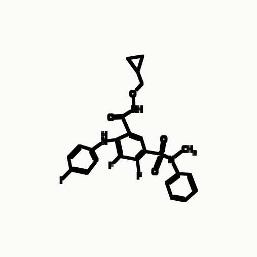 CN(c1ccccc1)S(=O)(=O)c1cc(C(=O)NOCC2CC2)c(Nc2ccc(I)cc2)c(F)c1F